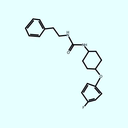 O=C(NCCc1ccccc1)NC1CCC(Oc2ccc(F)cc2)CC1